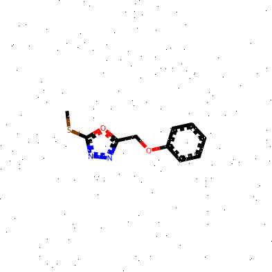 CSc1nnc(COc2ccccc2)o1